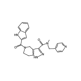 CN(Cc1ccncc1)C(=O)c1n[nH]c2c1CN(C(=O)c1cc3ccccc3[nH]1)CC2